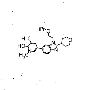 CC1=CC(c2ccc3nc(C4CCOCC4)n(CCOC(C)C)c3c2)=CN(C)C1O